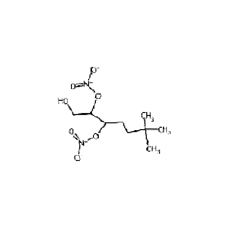 CC(C)(C)CCC(O[N+](=O)[O-])C(CO)O[N+](=O)[O-]